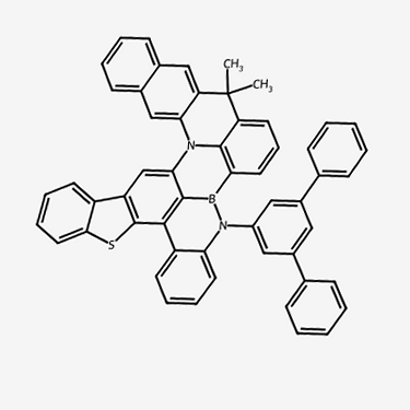 CC1(C)c2cc3ccccc3cc2N2c3cc4c(sc5ccccc54)c4c3B(c3cccc1c32)N(c1cc(-c2ccccc2)cc(-c2ccccc2)c1)c1ccccc1-4